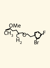 C=C(CC/C(=C\C)OC)COCCc1ccc(F)cc1Br